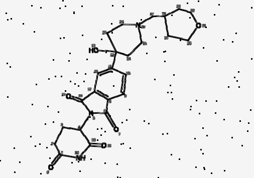 O=C1CCC(N2C(=O)c3ccc(C4(O)CCN(CC5CCOCC5)CC4)cc3C2=O)C(=O)N1